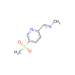 C/N=C/c1ccc(S(C)(=O)=O)cn1